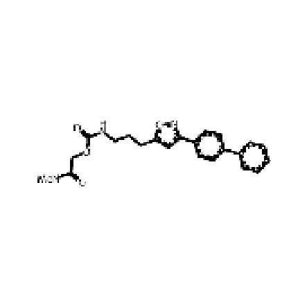 CNC(=O)COC(=O)NCCCc1cc(-c2ccc(-c3ccccc3)cc2)no1